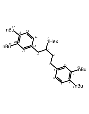 CCCCCCC([CH]Cc1ccc(CCCC)c(CCCC)c1)Cc1ccc(CCCC)c(CCCC)c1